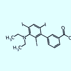 CCN(CC)c1c(I)cc(I)c(-c2cccc(C(=O)O)c2)c1I